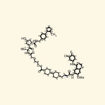 COc1cc2ncnc(Nc3ccc(F)c(Cl)c3)c2cc1NC(=O)/C=C/CN1CCC(N2CCN(C(=O)COCCOCC(=O)N[C@H](C(=O)N3C[C@H](O)C[C@H]3C(=O)NCc3ccc(-c4scnc4C)cc3)C(C)(C)C)CC2)CC1